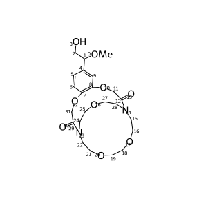 COC(CO)c1ccc2c(c1)OCC(=O)N1CCOCCOCCN(CCOCC1)C(=O)CO2